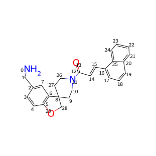 NCc1ccc2c(c1)C1(CCN(C(=O)C=Cc3cccc4ccccc34)CC1)CO2